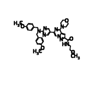 COCCNC(=O)c1cc2c(N3CCOCC3)nc(-c3cnc(N(Cc4ccc(OC)cc4)Cc4ccc(OC)cc4)nc3)cn2n1